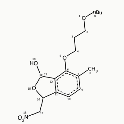 CCCCOCCCOc1c(C)ccc2c1B(O)OC2C[N+](=O)[O-]